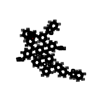 Cc1cccc(C)c1N1c2cc(N(c3ccccc3)c3ccc4cc(-c5cc6ccccc6o5)ccc4c3)ccc2B2c3cc(C(C)(C)C)ccc3N(c3cc(-c4cc5ccccc5o4)cc(-c4cc5ccccc5o4)c3)c3cc(N(c4ccc(C(C)(C)C)cc4)c4ccc(C(C)(C)C)cc4)cc1c32